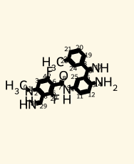 CNc1cc(F)c(C(=O)Nc2ccc(N)c(C(=N)c3cccc(C)c3)c2)c(F)c1C=N